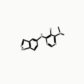 CN(C)c1ncnc(Nc2ccc3[nH]ncc3c2)c1Cl